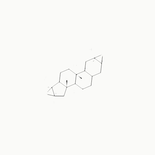 C[C@]12C[C@H]3O[C@H]3CC1CC[C@@H]1[C@@H]2CC[C@@]2(C)[C@H]1C[C@H]1O[C@]12Br